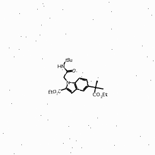 CCOC(=O)c1cc2cc(C(C)(C)C(=O)OCC)ccc2n1CC(=O)NC(C)(C)C